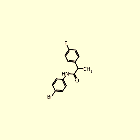 CC(C(=O)Nc1ccc(Br)cc1)c1ccc(F)cc1